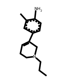 CCCN1CCC=C(c2ccc(N)c(C)c2)C1